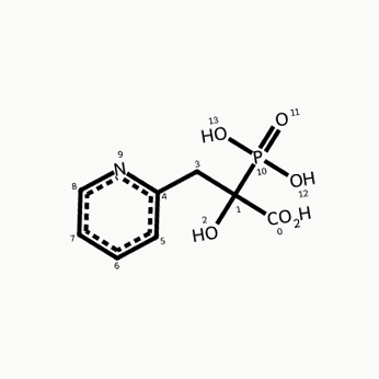 O=C(O)C(O)(Cc1ccccn1)P(=O)(O)O